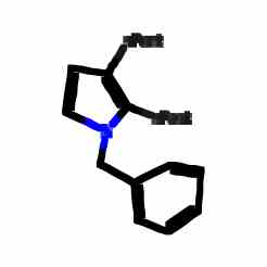 CCCCCc1ccn(Cc2ccccc2)c1CCCCC